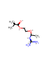 C=C(C)C(=O)OCCOC(C)N=C(N)N